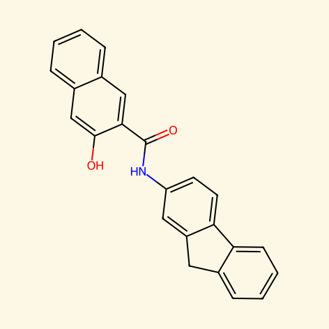 O=C(Nc1ccc2c(c1)Cc1ccccc1-2)c1cc2ccccc2cc1O